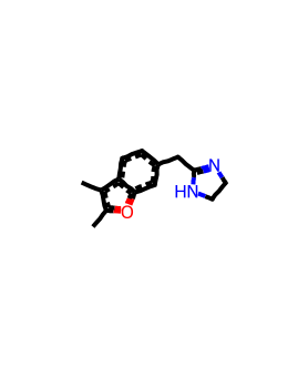 Cc1oc2cc(CC3=NCCN3)ccc2c1C